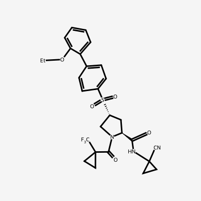 CCOc1ccccc1-c1ccc(S(=O)(=O)[C@@H]2C[C@@H](C(=O)NC3(C#N)CC3)N(C(=O)C3(C(F)(F)F)CC3)C2)cc1